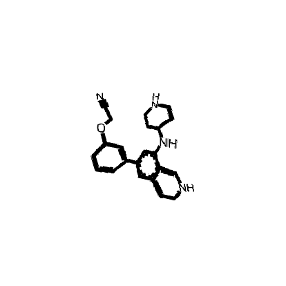 N#CCOC1C=C(c2cc(NC3CCNCC3)c3c(c2)=CCNC=3)C=CC1